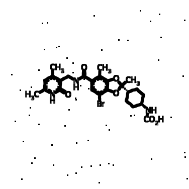 Cc1cc(C)c(CNC(=O)c2cc(Br)c3c(c2C)OC(C)([C@H]2CC[C@H](NC(=O)O)CC2)O3)c(=O)[nH]1